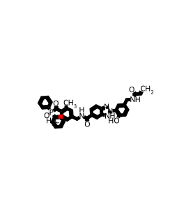 C=CC(=O)NCc1ccc(O)c(N2N=C3C=CC(C(=O)NCc4cc(C)c(C(=O)P(=O)(c5ccccc5)c5ccccc5)c(C)c4)=CC3N2)c1